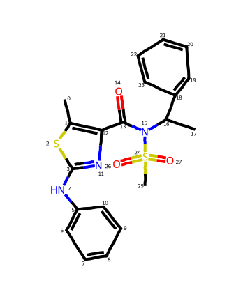 Cc1sc(Nc2ccccc2)nc1C(=O)N(C(C)c1ccccc1)S(C)(=O)=O